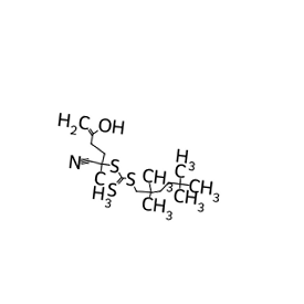 C=C(O)CCC(C)(C#N)SC(=S)SCC(C)(C)CCC(C)(C)C